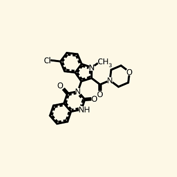 Cn1c(C(=O)N2CCOCC2)c(-n2c(=O)[nH]c3ccccc3c2=O)c2cc(Cl)ccc21